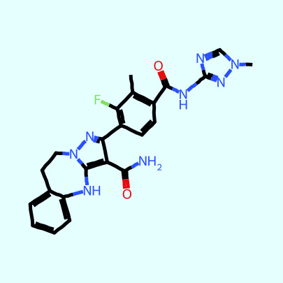 Cc1c(C(=O)Nc2ncn(C)n2)ccc(-c2nn3c(c2C(N)=O)Nc2ccccc2CC3)c1F